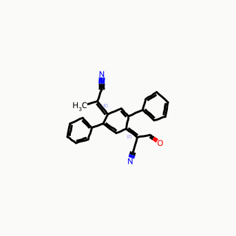 C/C(C#N)=c1/cc(-c2ccccc2)/c(=C(/C#N)C=O)cc1-c1ccccc1